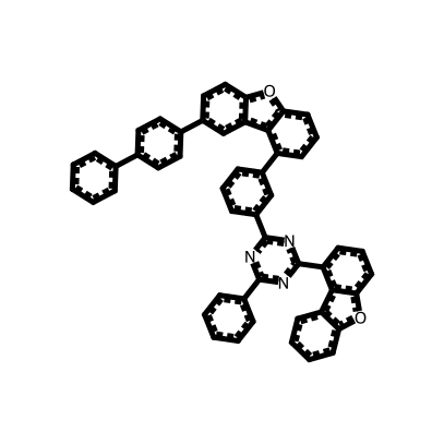 c1ccc(-c2ccc(-c3ccc4oc5cccc(-c6cccc(-c7nc(-c8ccccc8)nc(-c8cccc9oc%10ccccc%10c89)n7)c6)c5c4c3)cc2)cc1